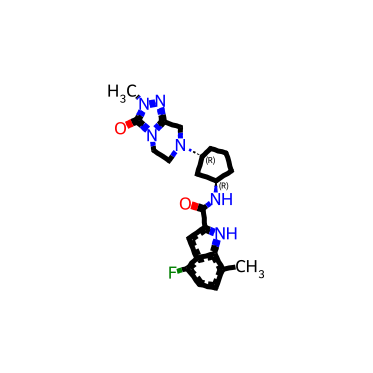 Cc1ccc(F)c2cc(C(=O)N[C@@H]3CCC[C@@H](N4CCn5c(nn(C)c5=O)C4)C3)[nH]c12